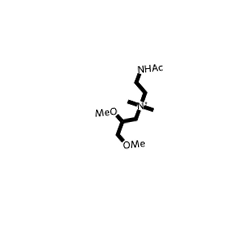 COCC(C[N+](C)(C)CCNC(C)=O)OC